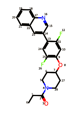 CCC(=O)N1CCC(Oc2cc(F)c(-c3cnc4ccccc4c3)cc2F)CC1